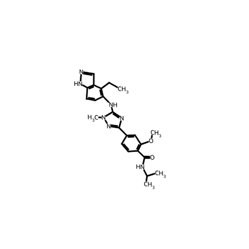 CCc1c(Nc2nc(-c3ccc(C(=O)NC(C)C)c(OC)c3)nn2C)ccc2[nH]ncc12